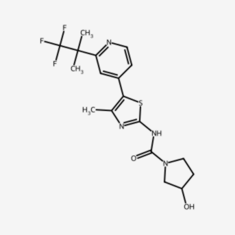 Cc1nc(NC(=O)N2CCC(O)C2)sc1-c1ccnc(C(C)(C)C(F)(F)F)c1